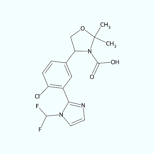 CC1(C)OCC(c2ccc(Cl)c(-c3nccn3C(F)F)c2)N1C(=O)O